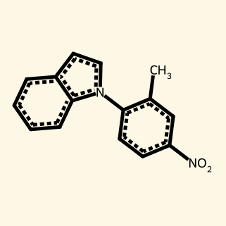 Cc1cc([N+](=O)[O-])ccc1-n1ccc2ccccc21